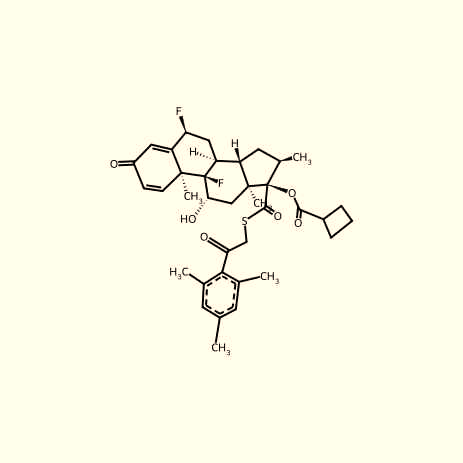 Cc1cc(C)c(C(=O)CSC(=O)[C@@]2(OC(=O)C3CCC3)[C@H](C)C[C@H]3[C@@H]4C[C@H](F)C5=CC(=O)C=C[C@]5(C)[C@@]4(F)[C@@H](O)C[C@@]32C)c(C)c1